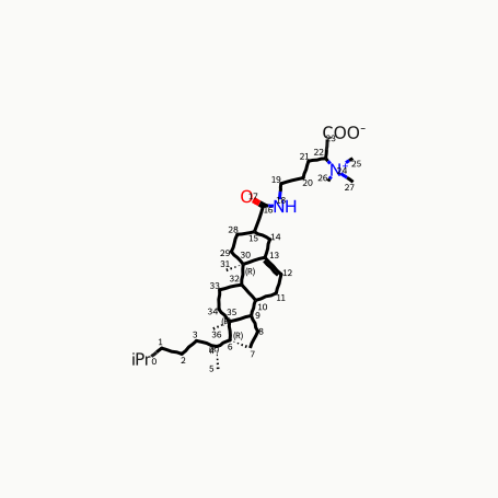 CC(C)CCC[C@@H](C)[C@H]1CCC2C3CC=C4CC(C(=O)NCCCC(C(=O)[O-])[N+](C)(C)C)CC[C@]4(C)C3CC[C@@]21C